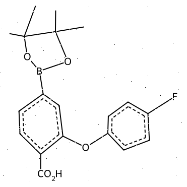 CC1(C)OB(c2ccc(C(=O)O)c(Oc3ccc(F)cc3)c2)OC1(C)C